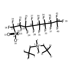 CC(C)(C)C[N+](C)(C)CC(C)(C)C.O=S(=O)([O-])C(F)(F)C(F)(F)C(F)(F)C(F)(F)C(F)(F)C(F)(F)C(F)(F)C(F)(F)F